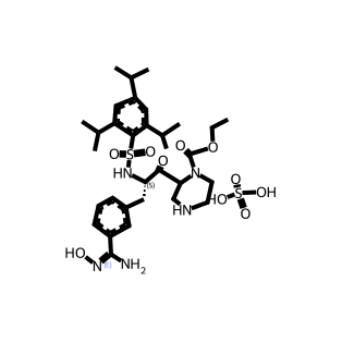 CCOC(=O)N1CCNCC1C(=O)[C@H](Cc1cccc(/C(N)=N\O)c1)NS(=O)(=O)c1c(C(C)C)cc(C(C)C)cc1C(C)C.O=S(=O)(O)O